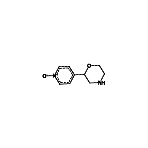 [O-][n+]1ccc(C2CNCCO2)cc1